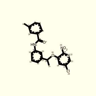 Cc1cccc(C(=O)Nc2cccc(C(C)Oc3cc(Cl)cnc3[N+](=O)[O-])c2)c1